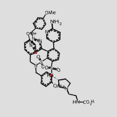 COc1ccc(CN(Cc2ccc(OC)cc2)S(=O)(=O)c2c(S(=O)(=O)N[C@@H]3CCN(CCNC(=O)O)C3)ccc(-c3ccc(N)nc3)c2-c2nnn(Cc3ccc(OC)cc3)n2)cc1